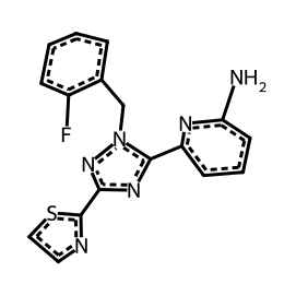 Nc1cccc(-c2nc(-c3nccs3)nn2Cc2ccccc2F)n1